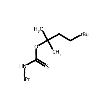 CC(C)NC(=S)OC(C)(C)CCC(C)(C)C